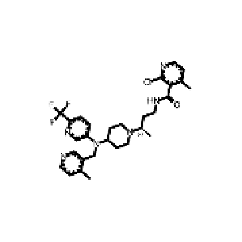 Cc1ccncc1CN(c1ccc(C(F)(F)F)nc1)C1CCN([C@H](C)CCNC(=O)c2c(C)ccnc2Cl)CC1